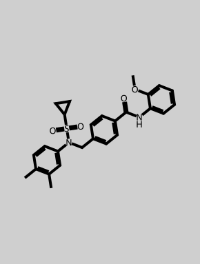 COc1ccccc1NC(=O)c1ccc(CN(c2ccc(C)c(C)c2)S(=O)(=O)C2CC2)cc1